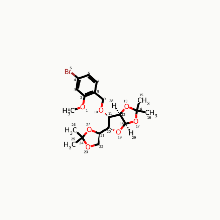 COc1cc(Br)ccc1CO[C@@H]1[C@H]2OC(C)(C)O[C@H]2O[C@@H]1[C@H]1COC(C)(C)O1